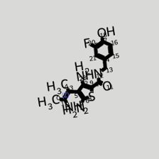 C/C(N)=C(\C)c1c(N)sc(C(=O)NCc2ccc(O)c(F)c2)c1N